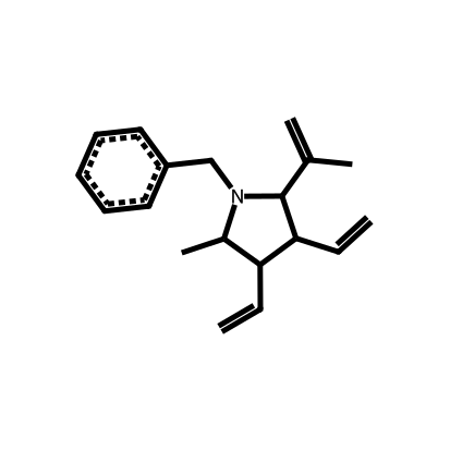 C=CC1C(C=C)C(C(=C)C)N(Cc2ccccc2)C1C